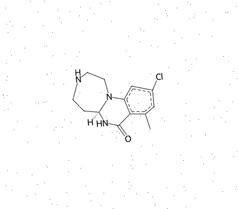 Cc1cc(Cl)cc2c1C(=O)N[C@H]1CCNCCN21